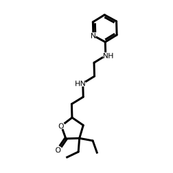 CCC1(CC)CC(CCNCCNc2ccccn2)OC1=O